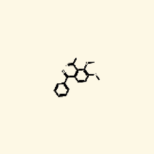 COc1ccc(C(=O)c2ccccc2)c(C(C)=O)c1OC